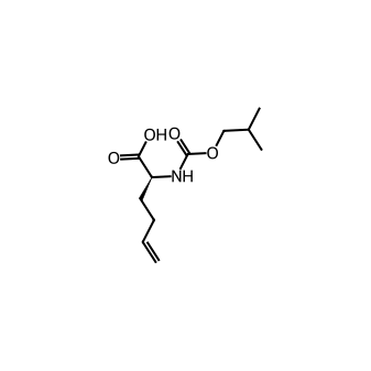 C=CCC[C@H](NC(=O)OCC(C)C)C(=O)O